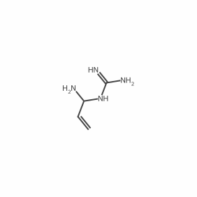 C=CC(N)NC(=N)N